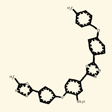 Cc1ccc(Oc2ccc(-c3nnc(-c4ccc(Oc5ccc(-c6nnc(C)o6)cc5)c(S(=O)(=O)O)c4)o3)cc2)cc1